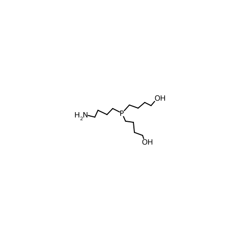 NCCCCP(CCCCO)CCCCO